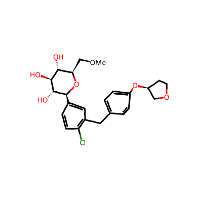 COC[C@H]1O[C@@H](c2ccc(Cl)c(Cc3ccc(O[C@H]4CCOC4)cc3)c2)[C@H](O)[C@@H](O)[C@@H]1O